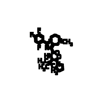 CN1CCCn2c(-c3cc(F)c(F)cc3F)nc(C(=O)NC(C(=O)N3CCCC3)C(C)(C)C)c2C1